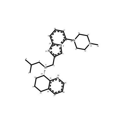 CC(C)CN(Cc1cn2c(N3CCN(C)CC3)cccc2n1)[C@H]1CCCc2cccnc21